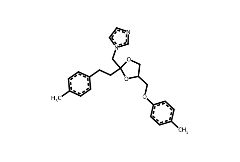 Cc1ccc(CCC2(Cn3ccnc3)OCC(COc3ccc(C)cc3)O2)cc1